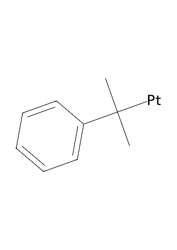 C[C](C)([Pt])c1ccccc1